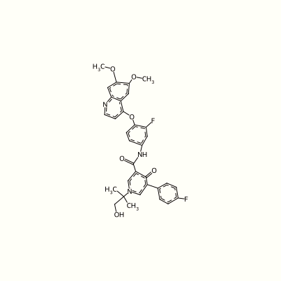 COc1cc2nccc(Oc3ccc(NC(=O)c4cn(C(C)(C)CO)cc(-c5ccc(F)cc5)c4=O)cc3F)c2cc1OC